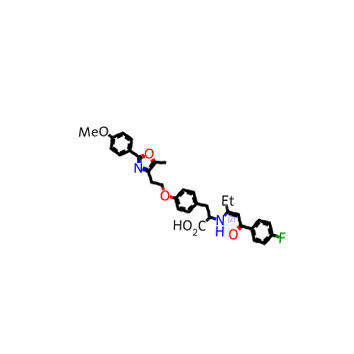 CC/C(=C/C(=O)c1ccc(F)cc1)NC(Cc1ccc(OCCc2nc(-c3ccc(OC)cc3)oc2C)cc1)C(=O)O